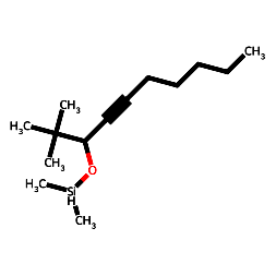 CCCCCC#CC(O[SiH](C)C)C(C)(C)C